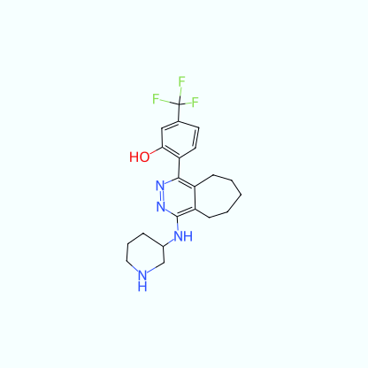 Oc1cc(C(F)(F)F)ccc1-c1nnc(NC2CCCNC2)c2c1CCCCC2